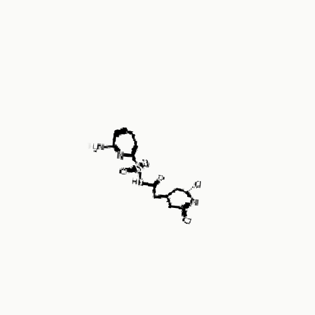 NC1=NC(S(=O)(=O)NC(=O)CC2CC(Cl)=N[C@@H](Cl)C2)=CCC#C1